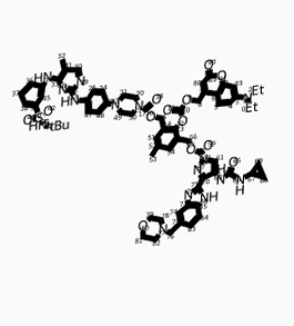 CCN(CC)c1ccc2c(COC(=O)Oc3c(COC(=O)N4CCN(c5ccc(Nc6ncc(C)c(Nc7cccc(S(=O)(=O)NC(C)(C)C)c7)n6)cc5)CC4)cc(C)cc3COC(=O)n3cc(NC(=O)NC4CC4)c(-c4nc5cc(CN6CCOCC6)ccc5[nH]4)n3)cc(=O)oc2c1